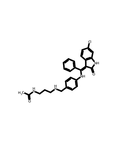 CC(=O)NCCCNCc1ccc(N/C(=C2\C(=O)Nc3cc(Cl)ccc32)c2ccccc2)cc1